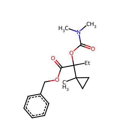 CCC(OC(=O)N(C)C)(C(=O)OCc1ccccc1)C1(C)CC1